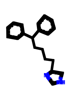 c1ccc(C(CCCCc2c[nH]cn2)c2ccccc2)cc1